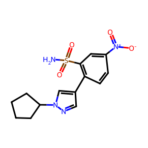 NS(=O)(=O)c1cc([N+](=O)[O-])ccc1-c1cnn(C2CCCC2)c1